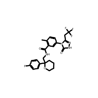 Cc1ccc(-n2c(CC(F)(F)F)n[nH]c2=O)cc1C(=O)NCC1(c2ccc(F)cc2)CCCCO1